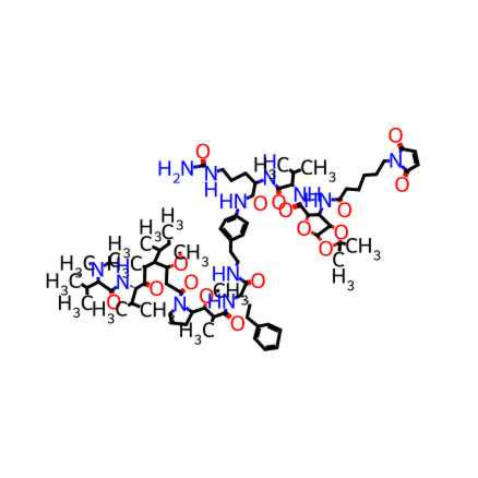 CCC(C)C(C(CC(=O)N1CCCC1C(OC)C(C)C(=O)N[C@@H](CCc1ccccc1)C(=O)NCCc1ccc(NC(=O)C(CCCNC(N)=O)NC(=O)[C@H](NC(=O)C2OC3OC(C)(C)OC3C2NC(=O)CCCCCN2C(=O)C=CC2=O)C(C)C)cc1)OC)C(C)C(=O)[C@@H](NC(=O)C(C(C)C)N(C)C)C(C)C